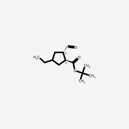 CCC1C[C@H](C(=O)OC(C)(C)C)[C@@H](C=O)C1